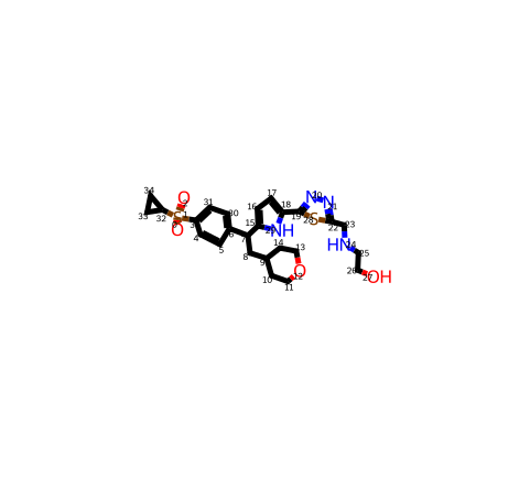 O=S(=O)(c1ccc(C(CC2CCOCC2)c2ccc(-c3nnc(CNCCO)s3)[nH]2)cc1)C1CC1